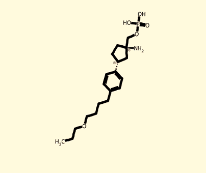 CCCOCCCCc1ccc([C@@H]2CC[C@](N)(COP(=O)(O)O)C2)cc1